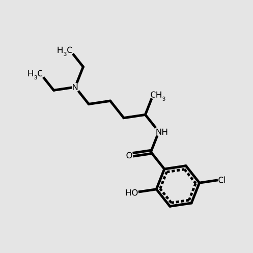 CCN(CC)CCCC(C)NC(=O)c1cc(Cl)ccc1O